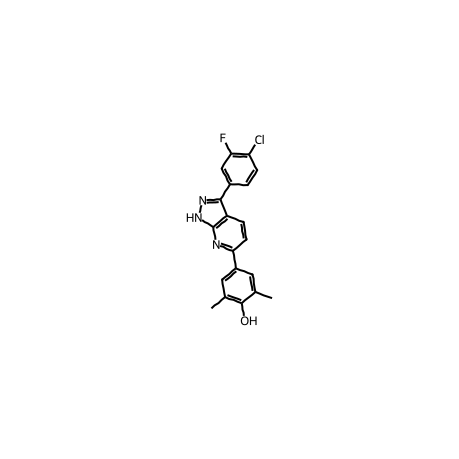 Cc1cc(-c2ccc3c(-c4ccc(Cl)c(F)c4)n[nH]c3n2)cc(C)c1O